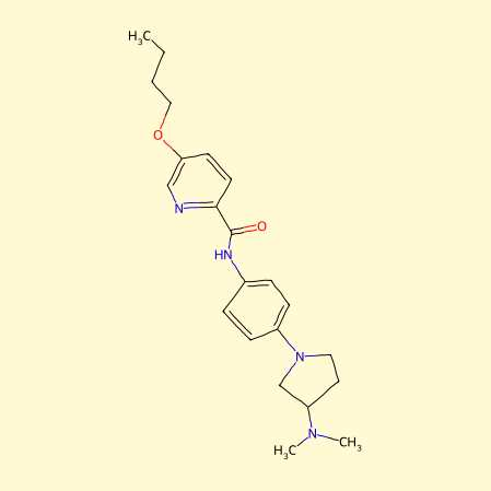 CCCCOc1ccc(C(=O)Nc2ccc(N3CCC(N(C)C)C3)cc2)nc1